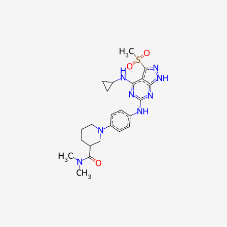 CN(C)C(=O)C1CCCN(c2ccc(Nc3nc(NC4CC4)c4c(S(C)(=O)=O)n[nH]c4n3)cc2)C1